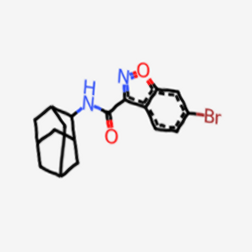 O=C(NC1C2CC3CC(C2)CC1C3)c1noc2cc(Br)ccc12